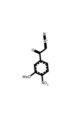 COc1cc(C(=O)C=[N+]=[N-])ccc1[N+](=O)[O-]